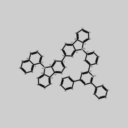 c1ccc(-c2cc(-c3ccccc3)nc(-c3cccc(-n4c5ccccc5c5ccc(-c6ccc7c8ccccc8n(-c8cccc9ccccc89)c7c6)cc54)c3)c2)cc1